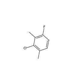 [CH2]c1c(F)ccc(C)c1Cl